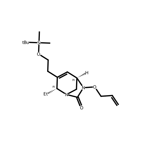 C=CCON1C(=O)N2C[C@H]1C=C(CCO[Si](C)(C)C(C)(C)C)[C@H]2CC